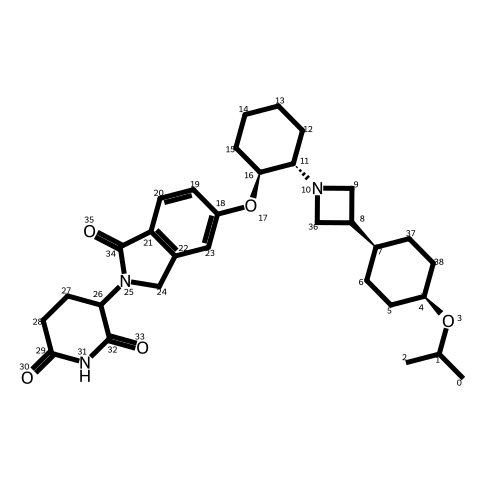 CC(C)O[C@H]1CC[C@@H](C2CN([C@H]3CCCC[C@@H]3Oc3ccc4c(c3)CN(C3CCC(=O)NC3=O)C4=O)C2)CC1